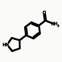 NC(=O)c1ccc(C2CCNC2)cc1